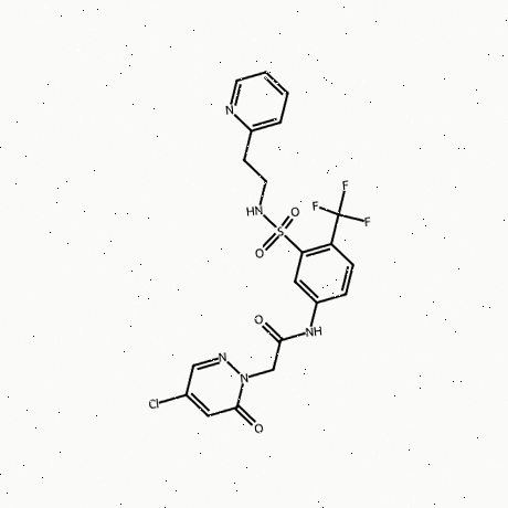 O=C(Cn1ncc(Cl)cc1=O)Nc1ccc(C(F)(F)F)c(S(=O)(=O)NCCc2ccccn2)c1